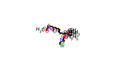 C/C=C/C(O[Si](C)(C)C(C)(C)C)C(C)(C)C(C\C=C/C=C\C=C\C(Cc1nc(C(=O)OC)cs1)OC)OC(=O)c1csc(/C=C\Br)n1